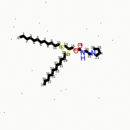 CCCCCCCCCCCCSCC(COC(=O)NCCN1CCCC1)SCCCCCCCCCCCC